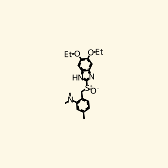 CCOc1cc2nc([S+]([O-])Cc3ccc(C)cc3N(C)C)[nH]c2cc1OCC